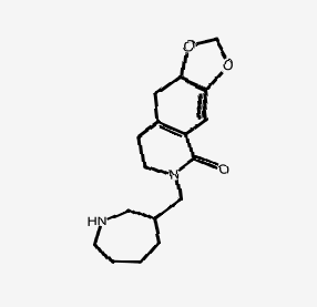 O=C1C2=C(CCN1CC1CCCCNC1)CC1OCOC1=C2